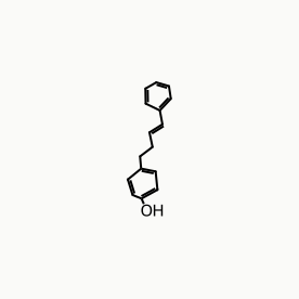 Oc1ccc(CCC=Cc2ccccc2)cc1